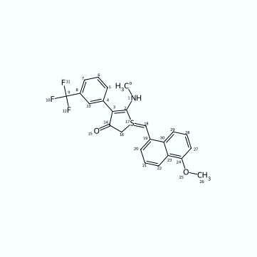 CNC1=C(c2cccc(C(F)(F)F)c2)C(=O)CS1=Cc1cccc2c(OC)cccc12